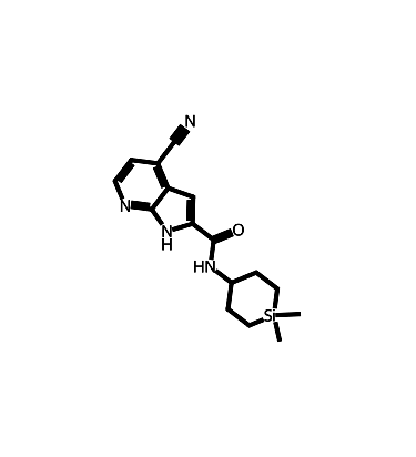 C[Si]1(C)CCC(NC(=O)c2cc3c(C#N)ccnc3[nH]2)CC1